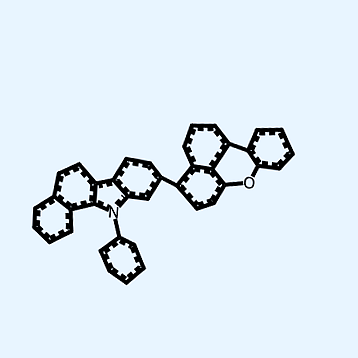 c1ccc(-n2c3cc(-c4ccc5c6c(cccc46)-c4ccccc4O5)ccc3c3ccc4ccccc4c32)cc1